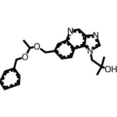 CC(OCc1ccccc1)OCc1ccc2c(c1)ncc1ncn(CC(C)(C)O)c12